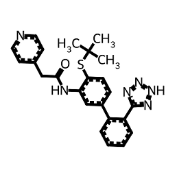 CC(C)(C)Sc1ccc(-c2ccccc2-c2nn[nH]n2)cc1NC(=O)Cc1ccncc1